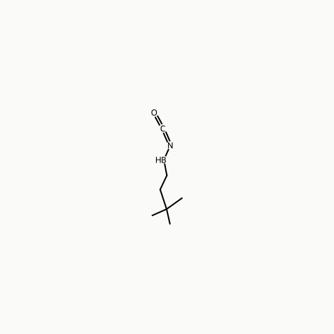 CC(C)(C)CCBN=C=O